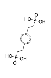 O=P(O)(O)CCc1ccc(CCP(=O)(O)O)cc1